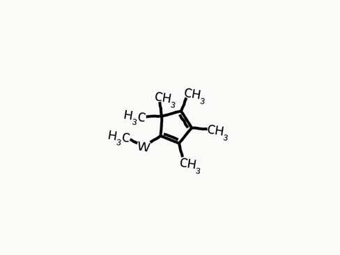 [CH3][W][C]1=C(C)C(C)=C(C)C1(C)C